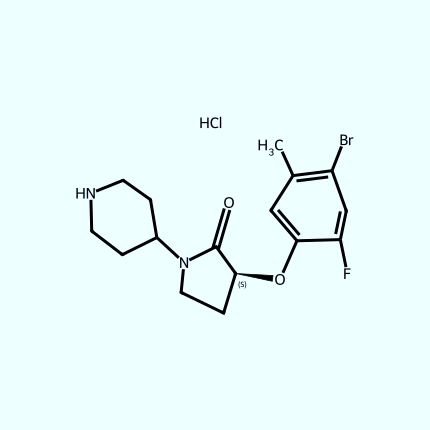 Cc1cc(O[C@H]2CCN(C3CCNCC3)C2=O)c(F)cc1Br.Cl